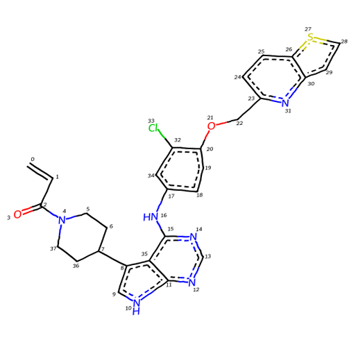 C=CC(=O)N1CCC(c2c[nH]c3ncnc(Nc4ccc(OCc5ccc6sccc6n5)c(Cl)c4)c23)CC1